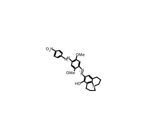 COc1cc(/N=N/c2cc3c4c(c2O)CCCN4CCC3)c(OC)cc1/N=N/c1ccc([N+](=O)[O-])cc1